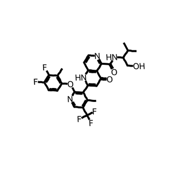 Cc1c(Oc2ncc(C(F)(F)F)c(C)c2-c2cc(=O)c3c(C(=O)NC(CO)C(C)C)nccc3[nH]2)ccc(F)c1F